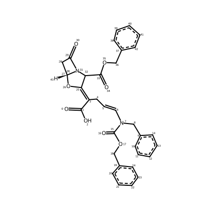 O=C(O)C(CC=CN(Cc1ccccc1)C(=O)OCc1ccccc1)=C1O[C@@H]2CC(=O)N2C1C(=O)OCc1ccccc1